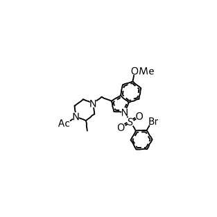 COc1ccc2c(c1)c(CN1CCN(C(C)=O)C(C)C1)cn2S(=O)(=O)c1ccccc1Br